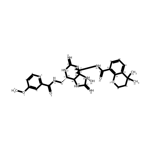 COc1ccnc(C(=O)NC[C@@H]2NC(=N)N3CC(NC(=O)c4cccc5c4OCCC5(C)C)[C@@H](O)C34NC(=N)NC24)c1